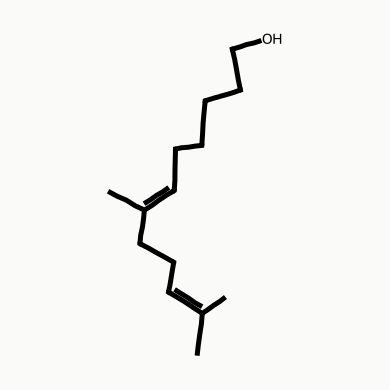 CC(C)=CCCC(C)=CCCCCCO